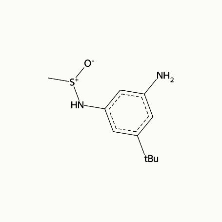 C[S+]([O-])Nc1cc(N)cc(C(C)(C)C)c1